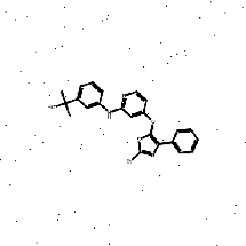 CCc1nc(-c2ccccc2)c(Oc2ccnc(Nc3cccc(C(C)(C)O)c3)c2)s1